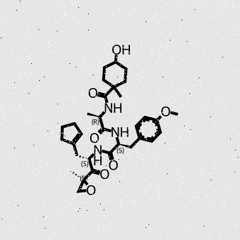 COc1ccc(C[C@H](NC(=O)[C@@H](C)NC(=O)C2(C)CCC(O)CC2)C(=O)N[C@@H](CC2=CCCC2)C(=O)[C@]2(C)CO2)cc1